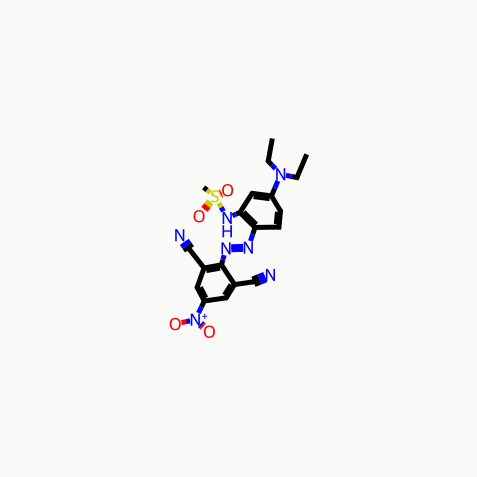 CCN(CC)c1ccc(N=Nc2c(C#N)cc([N+](=O)[O-])cc2C#N)c(NS(C)(=O)=O)c1